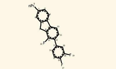 CCCc1ccc2c(c1)Cc1c-2ccc(-c2ccc(F)c(F)c2)c1F